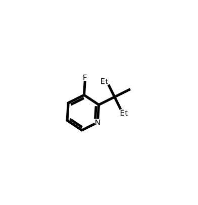 CCC(C)(CC)c1ncccc1F